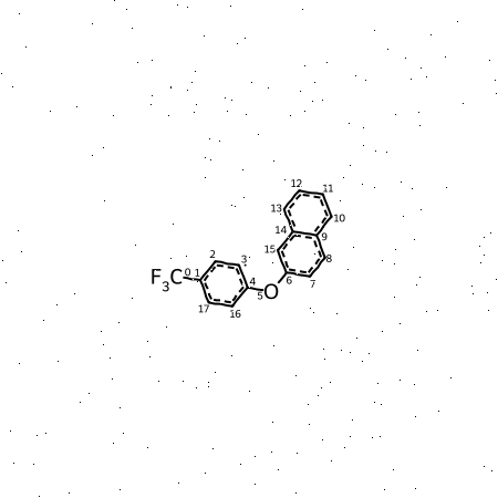 FC(F)(F)c1c[c]c(Oc2ccc3ccccc3c2)cc1